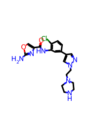 Nc1nc(C(=O)Nc2cc(-c3cnn(CCN4CCNCC4)c3)ccc2Cl)co1